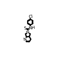 S=C(Nc1ccc(Cl)cc1)N1CC2=NC=CCC2C1